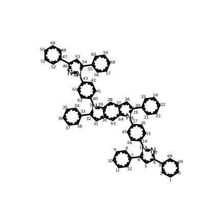 c1ccc(-c2cc(-c3ccccc3)n(-c3ccc(-n4c(-c5ccccc5)cc5cc6c(cc(-c7ccccc7)n6-c6ccc(-n7nc(-c8ccccc8)cc7-c7ccccc7)cc6)cc54)cc3)n2)cc1